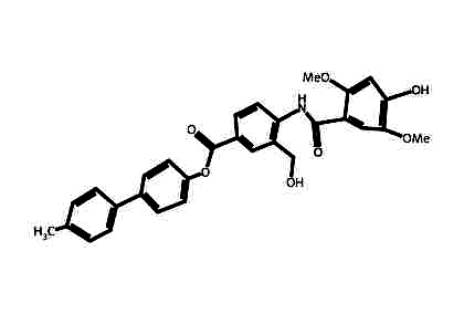 COc1cc(C(=O)Nc2ccc(C(=O)Oc3ccc(-c4ccc(C)cc4)cc3)cc2CO)c(OC)cc1O